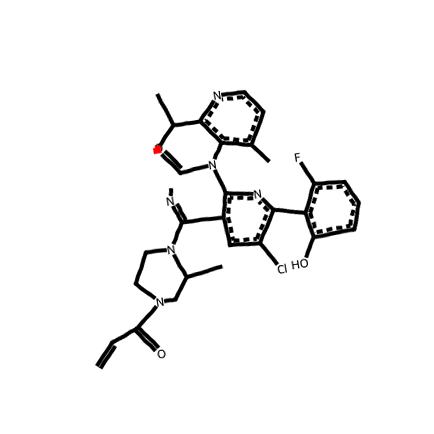 C=CC(=O)N1CCN(/C(=N/C)c2cc(Cl)c(-c3c(O)cccc3F)nc2N(C=O)c2c(C)ccnc2C(C)C)C(C)C1